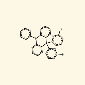 Brc1cccc(C2(c3cccc(Br)n3)c3ccccc3P(c3ccccc3)c3ccccc32)n1